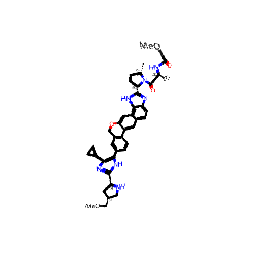 COC[C@@H]1CN[C@H](c2nc(C3CC3)c(-c3ccc4c(c3)COc3cc5c(ccc6nc([C@@H]7CC[C@H](C)N7C(=O)[C@@H](NC(=O)OC)C(C)C)[nH]c65)cc3-4)[nH]2)C1